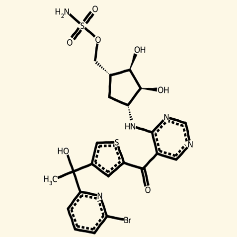 CC(O)(c1csc(C(=O)c2cncnc2N[C@@H]2C[C@H](COS(N)(=O)=O)[C@@H](O)[C@H]2O)c1)c1cccc(Br)n1